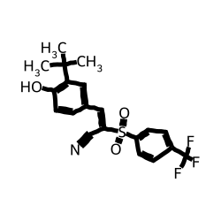 CC(C)(C)c1cc(/C=C(\C#N)S(=O)(=O)c2ccc(C(F)(F)F)cc2)ccc1O